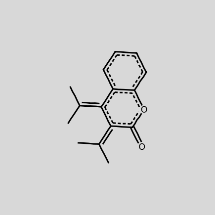 CC(C)=c1c(=O)oc2ccccc2c1=C(C)C